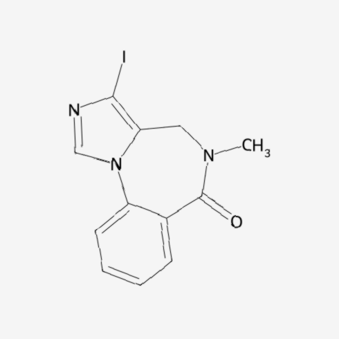 CN1Cc2c(I)ncn2-c2ccccc2C1=O